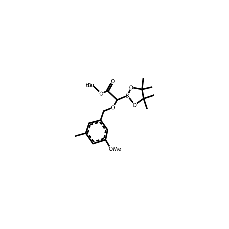 COc1cc(C)cc(COC(B2OC(C)(C)C(C)(C)O2)C(=O)OC(C)(C)C)c1